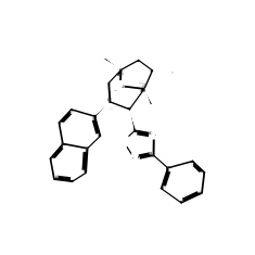 CN1[C@H]2CC[C@@H]1[C@@H](c1nc(-c3ccccc3)no1)[C@@H](c1ccc3ccccc3c1)C2.Cl